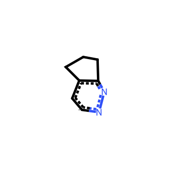 [c]1cc2c(nn1)CCC2